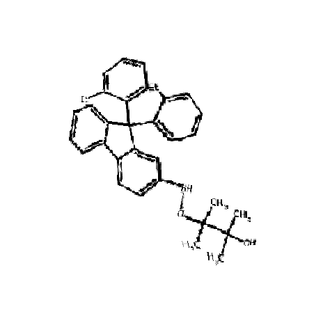 CCc1ccccc1C1(c2ccccc2CC)c2ccccc2-c2ccc(BOC(C)(C)C(C)(C)O)cc21